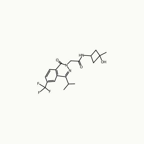 CC(C)c1nn(CC(=O)NC2CC(C)(O)C2)c(=O)c2ccc(C(F)(F)F)cc12